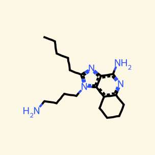 CCCCCc1nc2c(N)nc3c(c2n1CCCCN)CCCC3